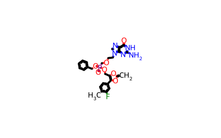 C=C1OC(COP(=O)(COCCn2cnc3c(=O)[nH]c(N)nc32)OCc2ccccc2)=C(c2ccc(C)c(F)c2)O1